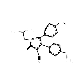 COc1ccc(-c2nn(CC(C)C)c(=O)c(C#N)c2-c2ccc(OC)cc2)cc1